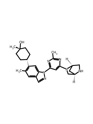 Cc1nc(N2C[C@H]3C[C@@H]2CN3)cc(-n2ncc3cc(C)c([C@H]4CC[C@@](C)(O)CC4)cc32)n1